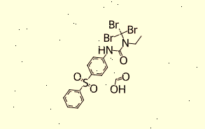 CCN(C(=O)Nc1ccc(S(=O)(=O)c2ccccc2)cc1)C(Br)(Br)Br.O=CO